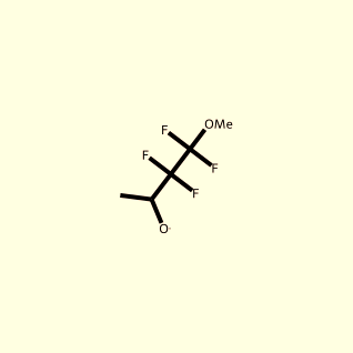 COC(F)(F)C(F)(F)C(C)[O]